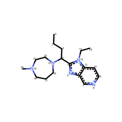 CCCC(c1nc2cnccc2n1CC)N1CCCN(C)CC1